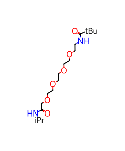 CC(C)NC(=O)COCCOCCOCCOCCNC(=O)C(C)(C)C